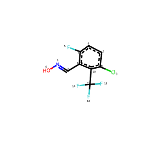 O/N=C/c1c(F)ccc(Cl)c1C(F)(F)F